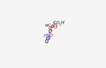 N#Cc1cc2c(cc1Oc1ccc(C(=O)Nc3cc4ccccc4cn3)cc1)OCCC2C(=O)O